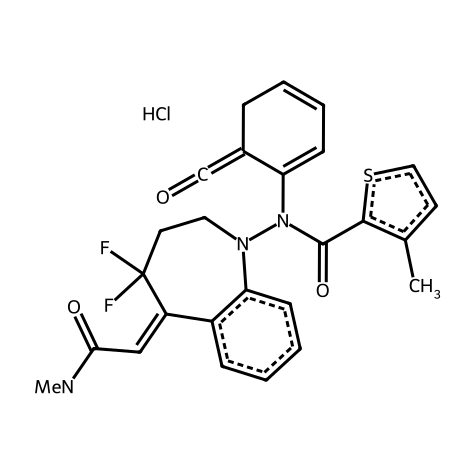 CNC(=O)C=C1c2ccccc2N(N(C(=O)c2sccc2C)C2=CC=CCC2=C=O)CCC1(F)F.Cl